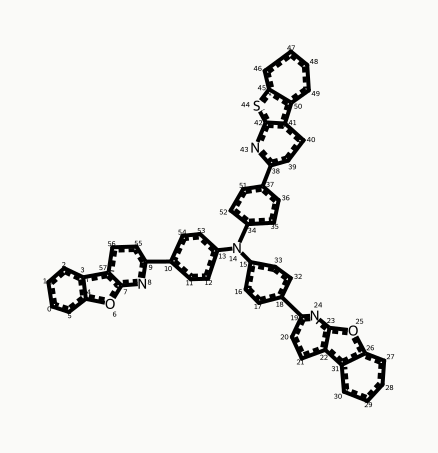 c1ccc2c(c1)oc1nc(-c3ccc(N(c4ccc(-c5ccc6c(n5)oc5ccccc56)cc4)c4ccc(-c5ccc6c(n5)sc5ccccc56)cc4)cc3)ccc12